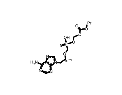 CC(C)OC(=O)OCOP(O)(=S)CO[C@H](C)Cn1cnc2c(N)ncnc21